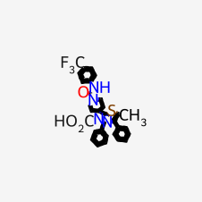 Cc1sc(C2(N(Cc3ccccc3)C(=O)O)CCN(C(=O)Nc3ccc(C(F)(F)F)cc3)CC2)nc1-c1ccccc1